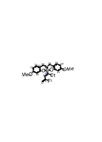 C=C(F)/C=C(\CC)S(=O)(=O)N(Cc1ccc(OC)cc1)Cc1ccc(OC)cc1